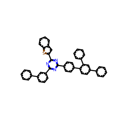 c1ccc(-c2cccc(-c3nc(-c4ccc(-c5ccc(-c6ccccc6)cc5-c5ccccc5)cc4)nc(-c4cc5ccccc5s4)n3)c2)cc1